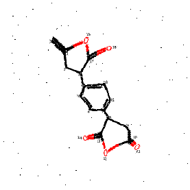 C=C1CC(c2ccc(C3CC(=O)OC3=O)cc2)C(=O)O1